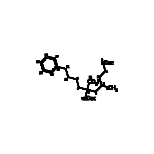 CCCCCCCCCCCCC(C)CC(CCCCCCCCCC)(CCCCc1ccccc1)C(=O)O